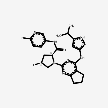 CC(C)c1cc(Nc2nc(N3C[C@@H](F)C[C@H]3C(=O)Nc3ccc(F)nc3)nc3c2CCC3)n[nH]1